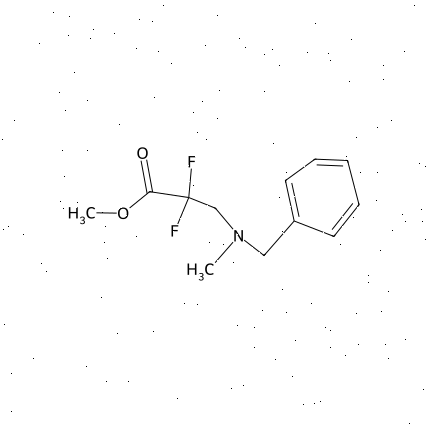 COC(=O)C(F)(F)CN(C)Cc1ccccc1